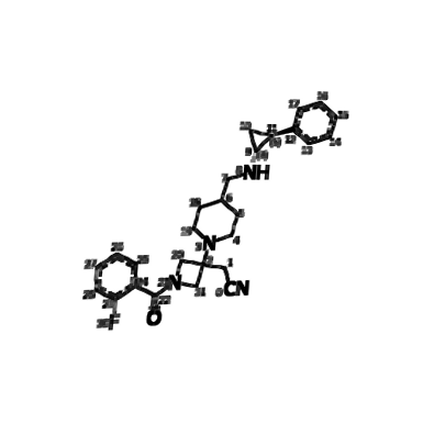 N#CCC1(N2CCC(CN[C@@H]3C[C@H]3c3ccccc3)CC2)CN(C(=O)c2ccccc2F)C1